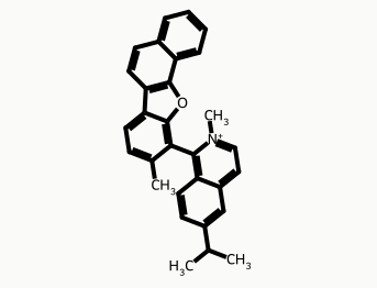 Cc1ccc2c(oc3c4ccccc4ccc23)c1-c1c2ccc(C(C)C)cc2cc[n+]1C